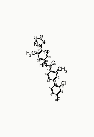 Cc1cc(-c2ccc(F)cc2Cl)ccc1C(=O)Nc1cnc(-n2nccn2)c(C(F)(F)F)c1